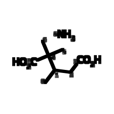 CC(CC(=O)O)C(C)(C)C(=O)O.N